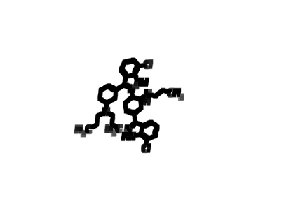 CCCNC1CC(c2n[nH]c3c(Cl)cccc23)=CCC1[n+]1[nH]c2c(Cl)cccc2c1C1=CCCC(N(CCC)CCC)C1